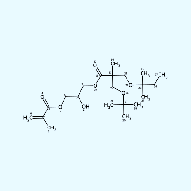 C=C(C)C(=O)OCC(O)COC(=O)C(C)(COC(C)(C)C)COC(C)(C)CC